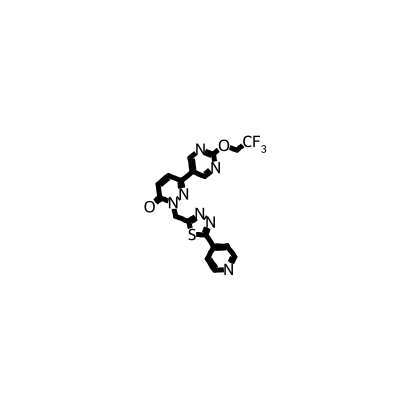 O=c1ccc(-c2cnc(OCC(F)(F)F)nc2)nn1Cc1nnc(-c2ccncc2)s1